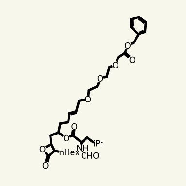 CCCCCCC1C(=O)OC1CC(CC/C=C/COCCOCCOCC(=O)OCc1ccccc1)OC(=O)C(CC(C)C)NC=O